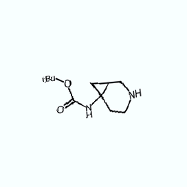 CC(C)(C)OC(=O)NC12CCNCC1C2